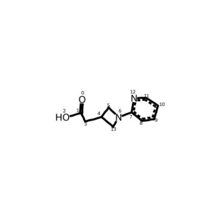 O=C(O)CC1CN(c2ccccn2)C1